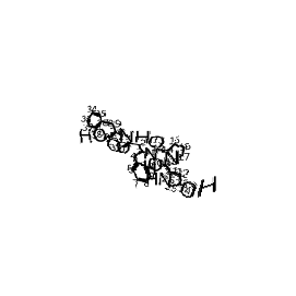 O=C(CC(Cc1ccccc1)NC(=O)C1CCCN1C(=O)C1CC(O)CN1)NC(Cc1ccccc1)C(=O)O